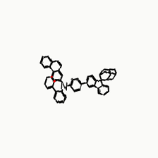 c1ccc(-c2ccccc2N(c2ccc(-c3ccc4c(c3)-c3ccccc3C43C4CC5CC(C4)CC3C5)cc2)c2ccc3c(ccc4ccccc43)c2)cc1